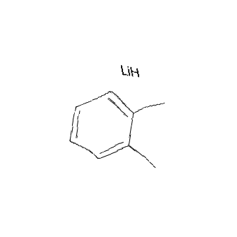 Cc1ccccc1C.[LiH]